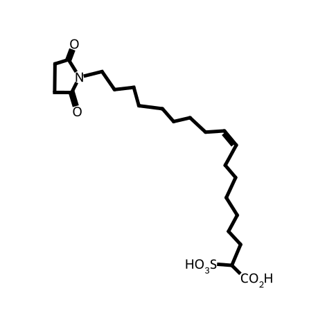 O=C(O)C(CCCCCC/C=C\CCCCCCCCN1C(=O)CCC1=O)S(=O)(=O)O